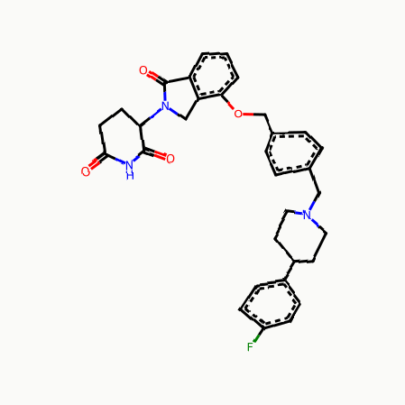 O=C1CCC(N2Cc3c(OCc4ccc(CN5CCC(c6ccc(F)cc6)CC5)cc4)cccc3C2=O)C(=O)N1